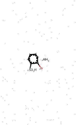 O=S(=O)(O)c1ccccc1Br.[AlH3]